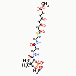 COC(=O)CCC(=O)CC(=O)CC(=O)SCCNC(=O)CCNC(=O)[C@@H]1OP(=O)(OC)OCC1(C)C